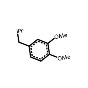 COc1ccc(C[C](C)C)cc1OC